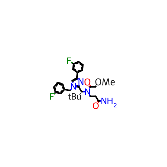 COCC(=O)N(CCC(N)=O)[C@@H](c1nc(-c2cccc(F)c2)cn1Cc1cccc(F)c1)C(C)(C)C